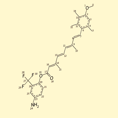 COc1cc(C)c(C=C/C(C)=C/C=C/C(C)=C/C(=O)Oc2ccc(N)cc2C(F)(F)F)c(C)c1C